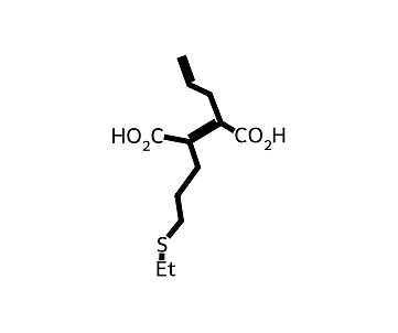 C=CCC(C(=O)O)=C(CCCSCC)C(=O)O